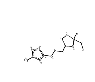 CCC1(C)OCC(CCOc2nc(S)ns2)O1